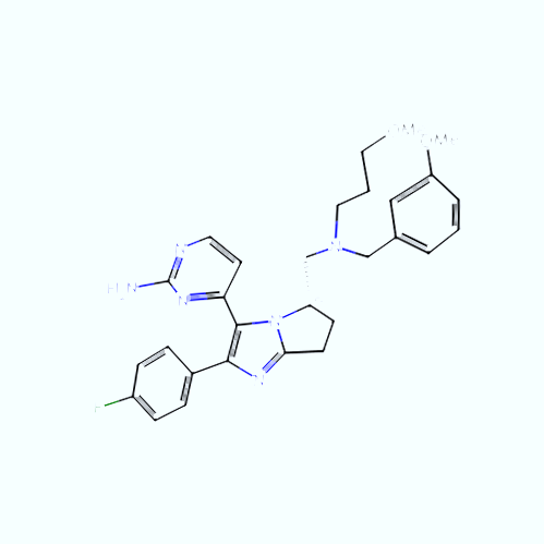 COCCCN(Cc1cccc(OC)c1)C[C@@H]1CCc2nc(-c3ccc(F)cc3)c(-c3ccnc(N)n3)n21